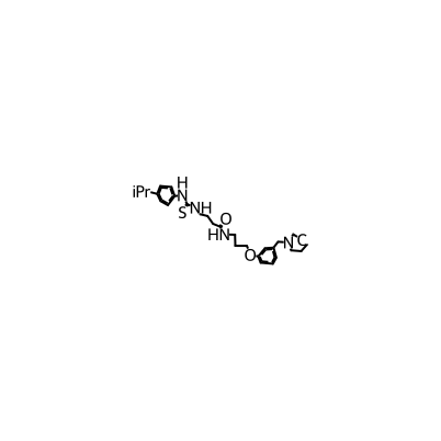 CC(C)c1ccc(NC(=S)NCCCC(=O)NCCCOc2cccc(CN3CCCCC3)c2)cc1